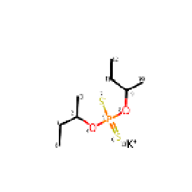 CCC(C)OP(=S)([S-])OC(C)CC.[K+]